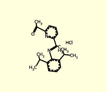 CC(=O)c1cccc(/C(C)=N/c2c(C(C)C)cccc2C(C)C)n1.Cl